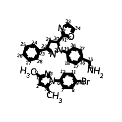 Cc1cc(C)n(-c2ccc(Br)cc2)n1.NCc1ccc(N2N=C(c3ccccc3)CC2c2ncco2)cc1